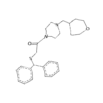 O=C(CSC(c1ccccc1)c1ccccc1)N1CCN(CC2CCOCC2)CC1